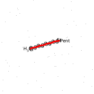 CCCCCC(CC)COC(=O)CCCCCOC(=O)CCCCCOC(=O)CCCCCOC(=O)CCCCCOC(=O)CCCCCOC(=O)CCCCCOC(=O)CCCCCOC(=O)C(C)Cl